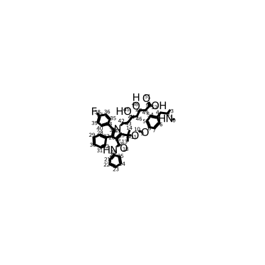 CNC(C)Cc1ccc(OCOC(C)(C)c2c(C(=O)Nc3ccccc3)c(-c3ccccc3)c(-c3ccc(F)cc3)n2CC[C@@H](O)C[C@@H](O)CC(=O)O)cc1